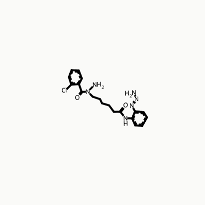 NN=Nc1ccccc1NC(=O)CCCCCN(N)C(=O)c1ccccc1Cl